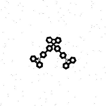 C1=CC2c3ccccc3C(c3ccc(-c4ccc(-n5c6ccccc6c6ccccc65)cc4)cc3)(c3ccc(-c4ccc(-n5c6ccccc6c6ccccc65)cc4)cc3)C2C=C1